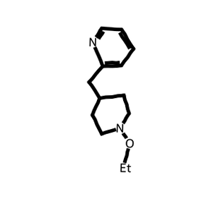 CCON1CCC(Cc2ccccn2)CC1